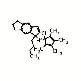 CCCC[C]1([Hf][C]2(C)C(C)=C(C)C(C)=C2C)C=Cc2cc3c(cc21)CCC3